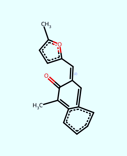 CC1=c2ccccc2=C/C(=C/c2ccc(C)o2)C1=O